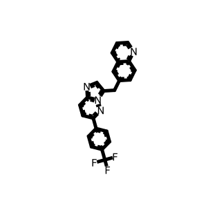 FC(F)(F)c1ccc(-c2ccc3ncc(Cc4ccc5ncccc5c4)n3n2)cc1